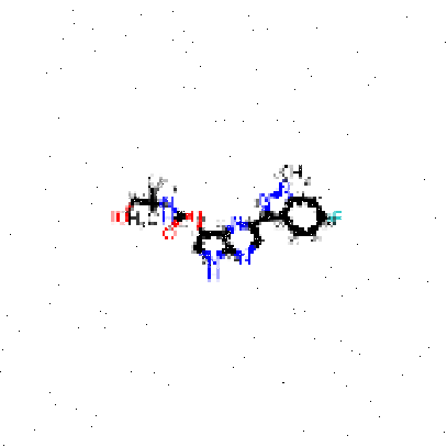 Cn1nc(-c2cnc3[nH]cc(OC(=O)NC(C)(C)CO)c3n2)c2ccc(F)cc21